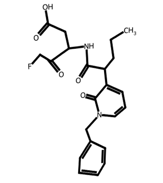 CCCC(C(=O)NC(CC(=O)O)C(=O)CF)c1cccn(Cc2ccccc2)c1=O